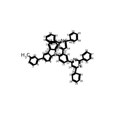 Cc1cccc(-c2ccc3c(c2)c2ccccc2n3-c2ccc(-c3cc(-c4ccccc4)nc(-c4ccccc4)n3)cc2-c2cc(-c3ccccc3)nc(-c3ccccc3)n2)c1